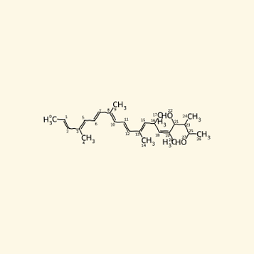 CC=CC(C)=CC=CC(C)=CC=CC(C)=CC(C)C=C(C)C(O)C(C)C(C)O